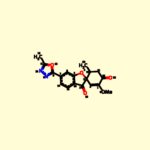 COC1=CC2(Oc3cc(-c4nnc(C)o4)ccc3C2=O)C(C)CC1=O